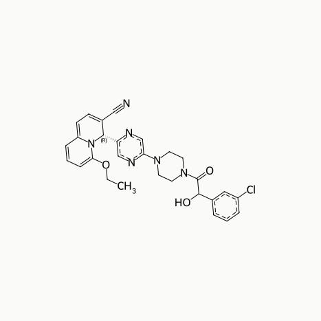 CCOC1=CC=CC2=CC=C(C#N)[C@H](c3cnc(N4CCN(C(=O)C(O)c5cccc(Cl)c5)CC4)cn3)N21